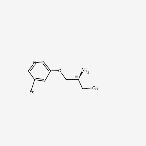 CCc1cncc(OC[C@@H](N)CO)c1